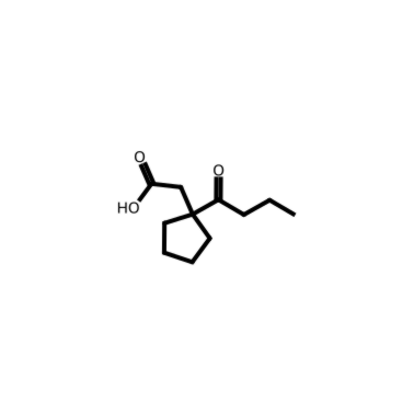 CCCC(=O)C1(CC(=O)O)CCCC1